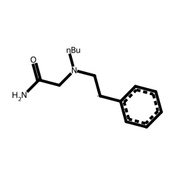 CCCCN(C[CH]c1ccccc1)CC(N)=O